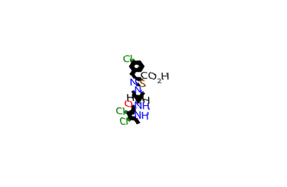 Cc1[nH]c(C(=O)N[C@H]2[C@@H]3CN(c4nc(Cc5cccc(Cl)c5)c(C(=O)O)s4)C[C@@H]32)c(Cl)c1Cl